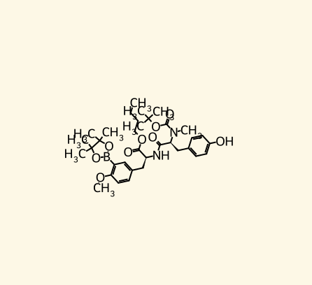 CCCCOC(=O)[C@H](Cc1ccc(OC)c(B2OC(C)(C)C(C)(C)O2)c1)NC(=O)[C@H](Cc1ccc(O)cc1)N(C)C(=O)OC(C)(C)C